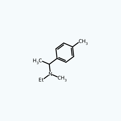 CCN(C)C(C)c1ccc(C)cc1